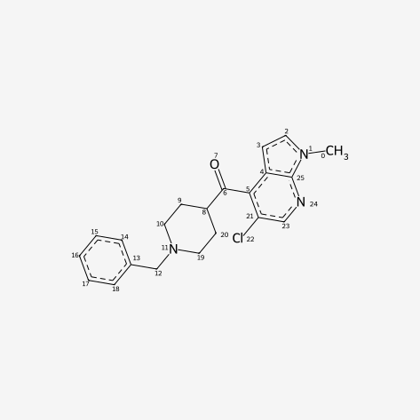 Cn1ccc2c(C(=O)C3CCN(Cc4ccccc4)CC3)c(Cl)cnc21